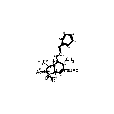 CC(=O)OC1=C[C@H]2[C@H]([C@@H](COCc3ccccc3)[C@@H]1C)[C@@H](C)N(C(C)=O)S2(=O)=O